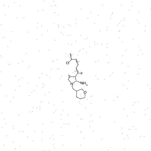 C=C(Cl)/C=C\C=C(/F)C1SCN(CC2CCCOC2)C1N